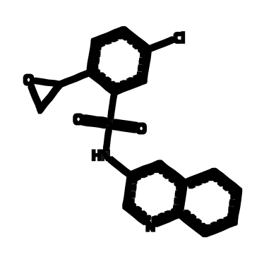 O=S(=O)(Nc1cnc2ccccc2c1)c1cc(Cl)ccc1C1CO1